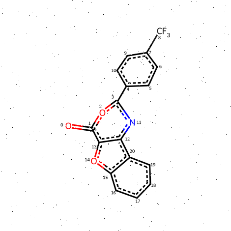 O=c1oc(-c2ccc(C(F)(F)F)cc2)nc2c1oc1ccccc12